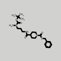 CN(CCCNC(=O)C1CCN(C(=O)OCc2ccccc2)CC1)C(=O)OC(C)(C)C